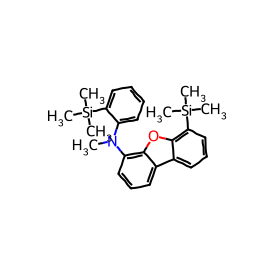 CN(c1ccccc1[Si](C)(C)C)c1cccc2c1oc1c([Si](C)(C)C)cccc12